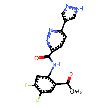 COC(=O)c1cc(F)c(F)cc1NC(=O)c1ccc(-c2cn[nH]c2)nn1